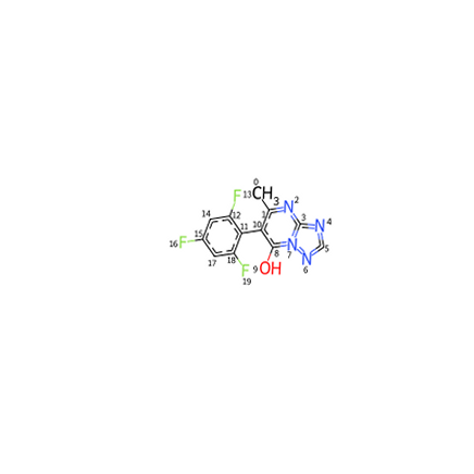 Cc1nc2ncnn2c(O)c1-c1c(F)cc(F)cc1F